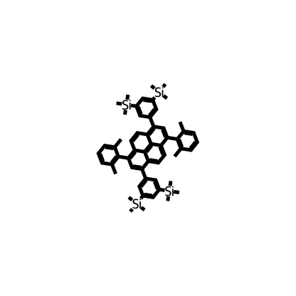 Cc1cccc(C)c1-c1cc(-c2cc([Si](C)(C)C)cc([Si](C)(C)C)c2)c2ccc3c(-c4c(C)cccc4C)cc(-c4cc([Si](C)(C)C)cc([Si](C)(C)C)c4)c4ccc1c2c43